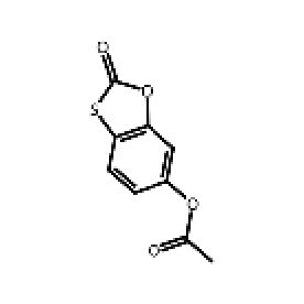 CC(=O)Oc1ccc2sc(=O)oc2c1